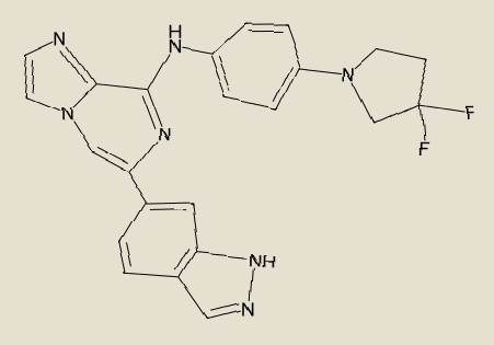 FC1(F)CCN(c2ccc(Nc3nc(-c4ccc5cn[nH]c5c4)cn4ccnc34)cc2)C1